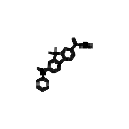 C=C(CCCC)c1ccc2c(c1)C(C)(C)c1cc(N(C)c3ccccc3)ccc1-2